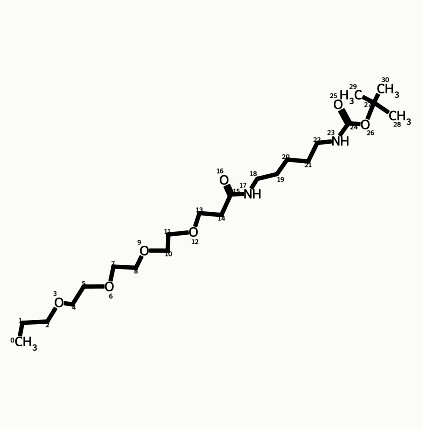 CCCOCCOCCOCCOCCC(=O)NCCCCCNC(=O)OC(C)(C)C